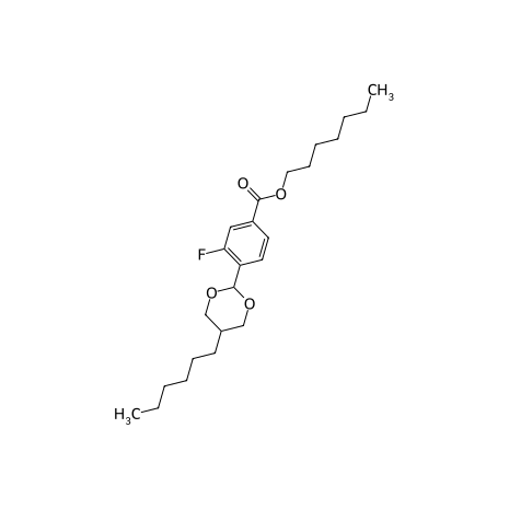 CCCCCCCOC(=O)c1ccc(C2OCC(CCCCCC)CO2)c(F)c1